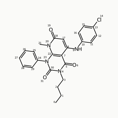 CCCCn1c(=O)c2c(Nc3ccc(Cl)cc3)cc(=O)n(C)c2n(-c2ccccc2)c1=O